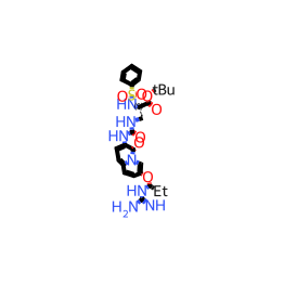 CCC(NC(=N)N)Oc1ccc2ccc(NC(=O)NC[C@H](NS(=O)(=O)c3ccccc3)C(=O)OC(C)(C)C)c(=O)n2c1